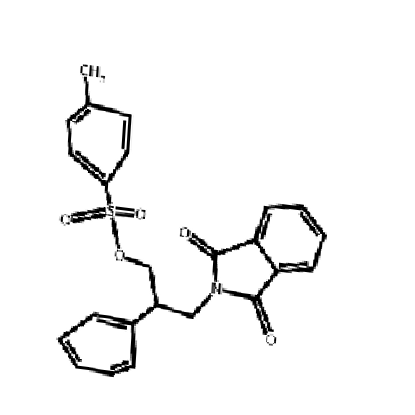 Cc1ccc(S(=O)(=O)OCC(CN2C(=O)c3ccccc3C2=O)c2ccccc2)cc1